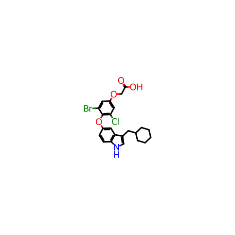 O=C(O)COc1cc(Cl)c(Oc2ccc3[nH]cc(CC4CCCCC4)c3c2)c(Br)c1